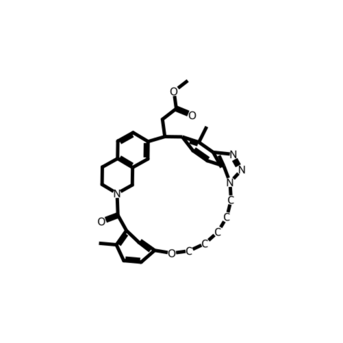 COC(=O)CC1c2ccc3c(c2)CN(CC3)C(=O)c2cc(ccc2C)OCCCCCn2nnc3c(C)c1ccc32